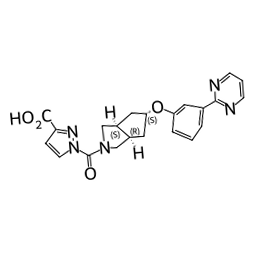 O=C(O)c1ccn(C(=O)N2C[C@H]3C[C@H](Oc4cccc(-c5ncccn5)c4)C[C@H]3C2)n1